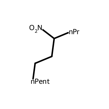 CCCCCCCC(CCC)[N+](=O)[O-]